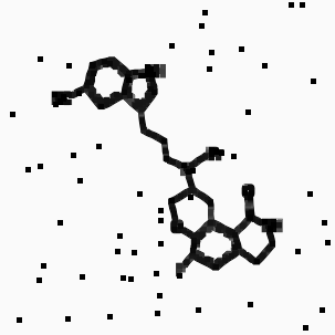 CC(C)N(CCCc1c[nH]c2ccc(C#N)cc12)C1COc2c(F)cc3c(c2C1)C(=O)NCC3